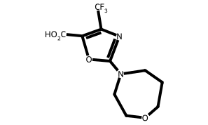 O=C(O)c1oc(N2CCCOCC2)nc1C(F)(F)F